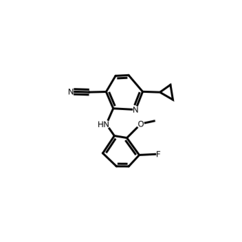 COc1c(F)cccc1Nc1nc(C2CC2)ccc1C#N